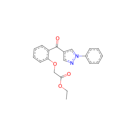 CCOC(=O)COc1ccccc1C(=O)c1cnn(-c2ccccc2)c1